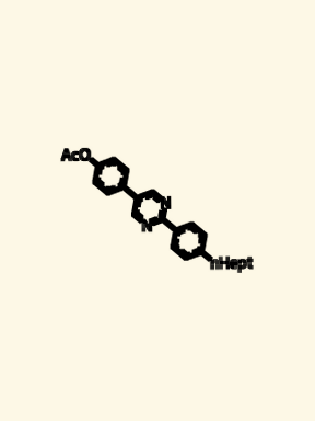 CCCCCCCc1ccc(-c2ncc(-c3ccc(OC(C)=O)cc3)cn2)cc1